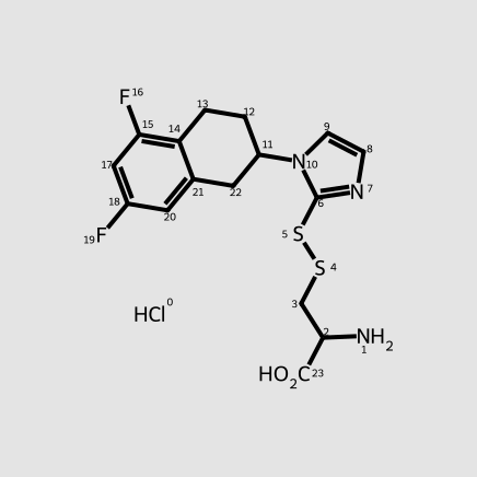 Cl.NC(CSSc1nccn1C1CCc2c(F)cc(F)cc2C1)C(=O)O